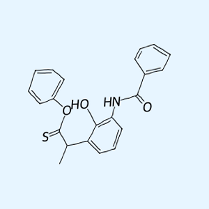 CC(C(=S)Oc1ccccc1)c1cccc(NC(=O)c2ccccc2)c1O